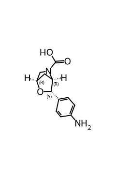 Nc1ccc([C@@H]2O[C@@H]3C[C@H]2N(C(=O)O)C3)cc1